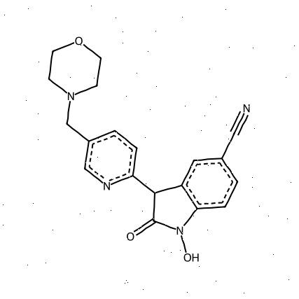 N#Cc1ccc2c(c1)C(c1ccc(CN3CCOCC3)cn1)C(=O)N2O